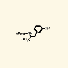 CCCCCN[C@@H](Cc1cccc(O)c1)C(=O)O